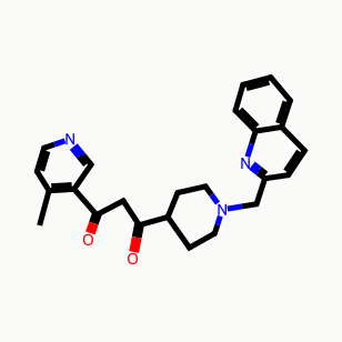 Cc1ccncc1C(=O)CC(=O)C1CCN(Cc2ccc3ccccc3n2)CC1